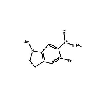 CC(=O)N[S+]([O-])c1cc2c(cc1Br)CCN2C(C)=O